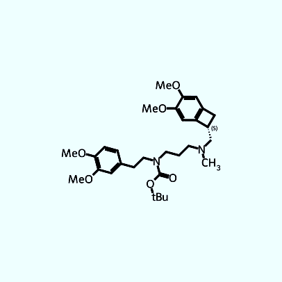 COc1ccc(CCN(CCCN(C)C[C@H]2Cc3cc(OC)c(OC)cc32)C(=O)OC(C)(C)C)cc1OC